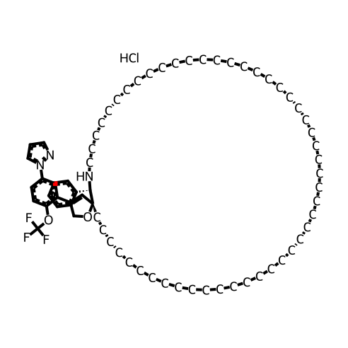 Cl.FC(F)(F)Oc1ccc(-n2cccn2)cc1C1=C[C@@]2(CCCCCCCCCCCCCCCCCCCCCCCCCCCCCCCCCCCCCCCCCCCCCCCCCN[C@H]2c2ccccc2)OC1